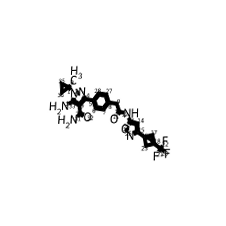 CC1(n2nc(-c3ccc(CC(=O)Nc4cc(C56CC(C(F)(F)F)(C5)C6)no4)cc3)c(C(N)=O)c2N)CC1